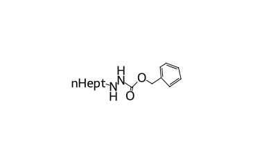 CCCCCCCNNC(=O)OCc1ccccc1